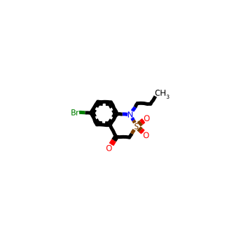 CCCN1c2ccc(Br)cc2C(=O)CS1(=O)=O